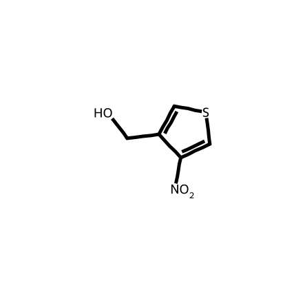 O=[N+]([O-])c1cscc1CO